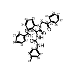 Cc1ccc(NC(=O)N[C@]2(CC(=O)c3ccccc3)C(=O)N(CC(=O)c3ccccc3)c3ccccc32)cc1